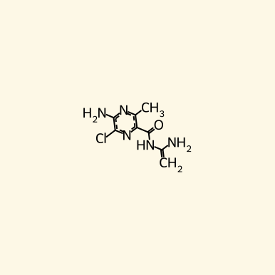 C=C(N)NC(=O)c1nc(Cl)c(N)nc1C